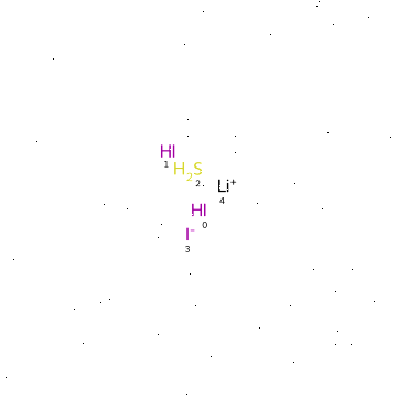 I.I.S.[I-].[Li+]